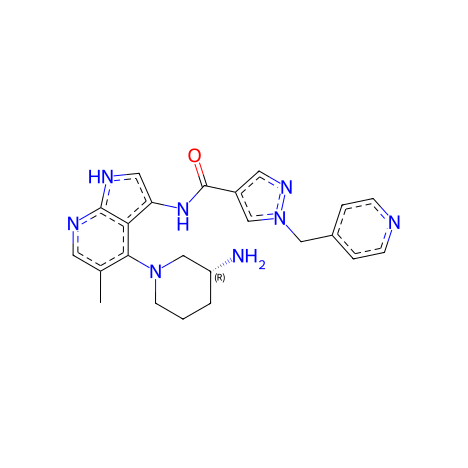 Cc1cnc2[nH]cc(NC(=O)c3cnn(Cc4ccncc4)c3)c2c1N1CCC[C@@H](N)C1